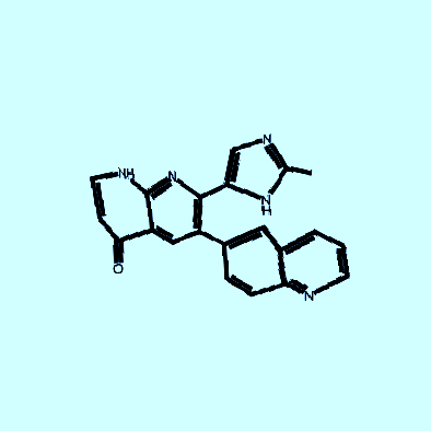 Cc1ncc(-c2nc3[nH]ccc(=O)c3cc2-c2ccc3ncccc3c2)[nH]1